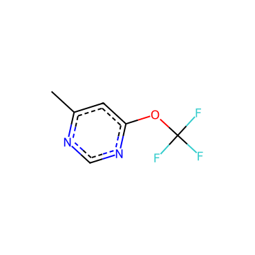 Cc1cc(OC(F)(F)F)ncn1